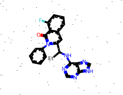 CCC(Nc1ncnc2[nH]cnc12)c1cc2cccc(F)c2c(=O)n1-c1ccccc1